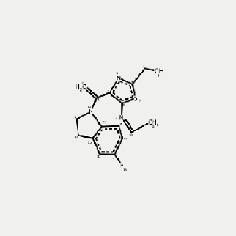 C=C(c1nc(CO)sc1/N=C\C)N1CCc2cc(F)ccc21